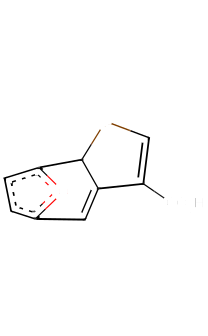 O=C(O)C1=CSC2C1=Cc1ccc2o1